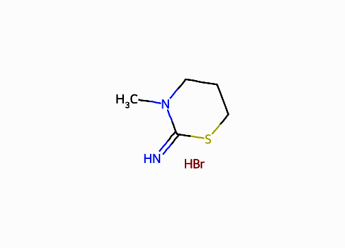 Br.CN1CCCSC1=N